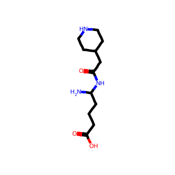 NC(CCCC(=O)O)NC(=O)CC1CCNCC1